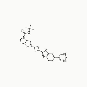 CC(C)(C)OC(=O)N1CCC2CN([C@H]3C[C@H](c4nc5ccc(-c6cncnc6)cc5s4)C3)CC21